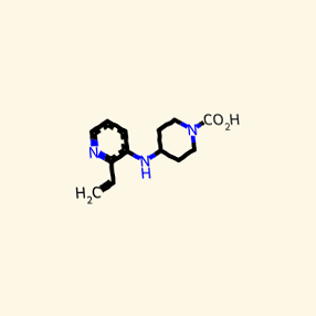 C=Cc1ncccc1NC1CCN(C(=O)O)CC1